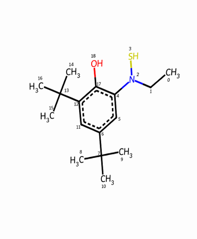 CCN(S)c1cc(C(C)(C)C)cc(C(C)(C)C)c1O